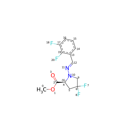 COC(=O)[C@@H]1CC(F)(F)CN1N=Cc1cccc(F)c1F